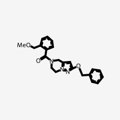 COCc1ccccc1C(=O)N1CCn2nc(OCc3ccccc3)cc2C1